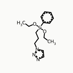 CCO[Si](CCCn1ccnn1)(OCC)c1ccccc1